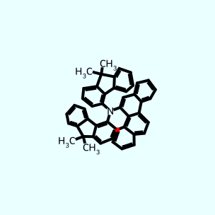 CC1(C)c2ccccc2-c2c(N(c3cccc4c3-c3ccccc3C4(C)C)c3cc4ccccc4c4ccc5ccccc5c34)cccc21